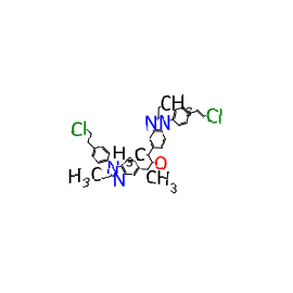 CCc1nc2cc(C(C)C(=O)C(C)c3ccc4c(c3)nc(CC)n4-c3ccc(CCCl)cc3)ccc2n1-c1ccc(CCCl)cc1